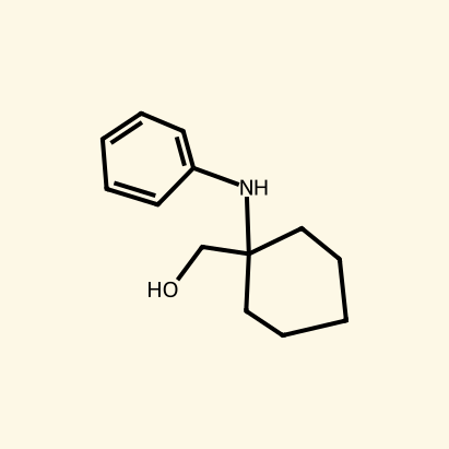 OCC1(Nc2ccccc2)CCCCC1